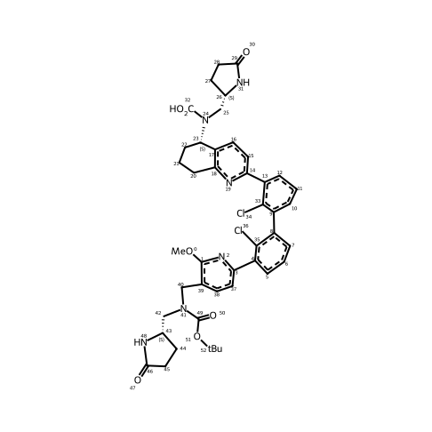 COc1nc(-c2cccc(-c3cccc(-c4ccc5c(n4)CCC[C@@H]5N(C[C@@H]4CCC(=O)N4)C(=O)O)c3Cl)c2Cl)ccc1CN(C[C@@H]1CCC(=O)N1)C(=O)OC(C)(C)C